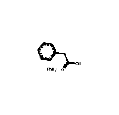 O=C(O)Cc1ccccc1.[PbH2]